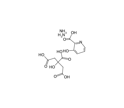 N.N.O=C(O)CC(O)(CC(=O)O)C(=O)O.O=C(O)c1ncccc1O